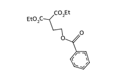 CCOC(=O)C(CCOC(=O)c1ccccc1)C(=O)OCC